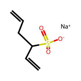 C=CCC(C=C)S(=O)(=O)[O-].[Na+]